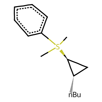 CCCC[C@H]1C[C@@H]1S(C)(C)c1ccccc1